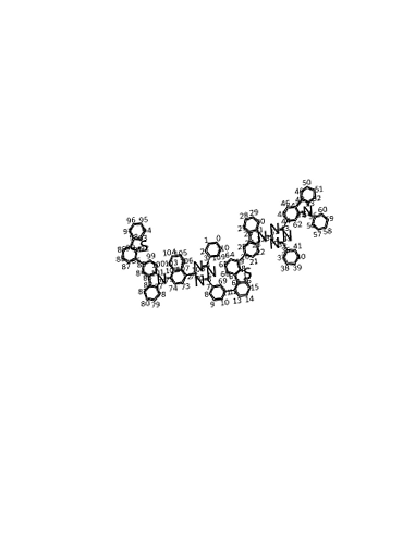 c1ccc(-c2nc(-c3cccc(-c4cccc5sc6c(-c7ccc8c(c7)c7ccccc7n8-c7nc(-c8ccccc8)nc(-c8ccc9c%10ccccc%10n(-c%10ccccc%10)c9c8)n7)cccc6c45)c3)nc(-c3ccc(-n4c5ccccc5c5cc(-c6cccc7c6sc6ccccc67)ccc54)c4ccccc34)n2)cc1